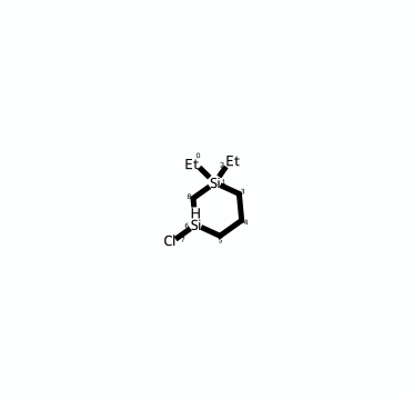 CC[Si]1(CC)CCC[SiH](Cl)C1